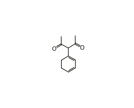 CC(=O)C(C(C)=O)C1=CC=CCC1